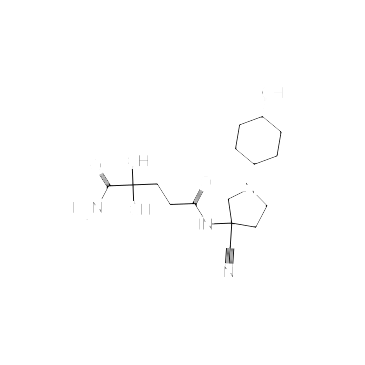 CC(C)(C[CH]C(=O)NC1(C#N)CCN([C@H]2CC[C@@H](C)CC2)C1)C(N)=O